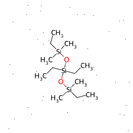 CC[Si](C)(C)O[Si](CC)(CC)O[Si](C)(C)CC